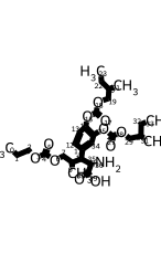 CCCOC(=O)OCC(C)C(c1ccc(OC(=O)OCC(C)CC)c(OC(=O)OCC(C)CC)c1)[C@H](N)C(=O)O